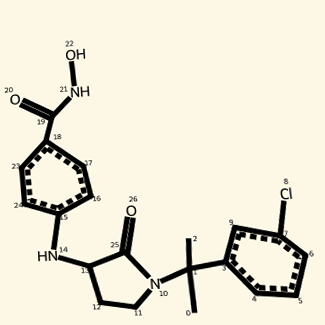 CC(C)(c1cccc(Cl)c1)N1CCC(Nc2ccc(C(=O)NO)cc2)C1=O